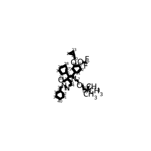 C[Si](C)(C)CCOCn1c(-c2ccc(OC(F)F)c(OCC3CC3)c2)c(-c2ccccc2)c2c(=O)n(Cc3ccccc3)ncc21